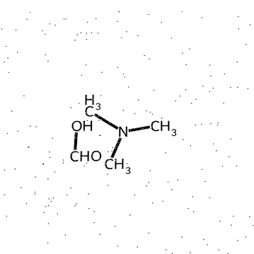 CN(C)C.O=CO